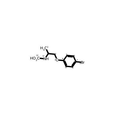 CC(COc1ccc(Br)cc1)NC(=O)O